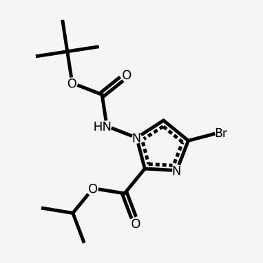 CC(C)OC(=O)c1nc(Br)cn1NC(=O)OC(C)(C)C